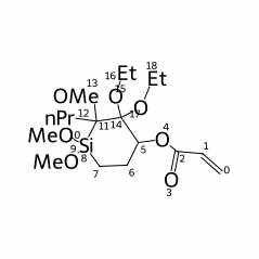 C=CC(=O)OC1CC[Si](OC)(OC)C(CCC)(OC)C1(OCC)OCC